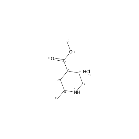 COC(=O)C1CCNC(C)C1.Cl